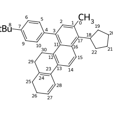 Cc1cc(-c2ccc(C(C)(C)C)cc2)c2c3c(ccc2c1C1CCCC1)C1=C(CCC=C1)CC3